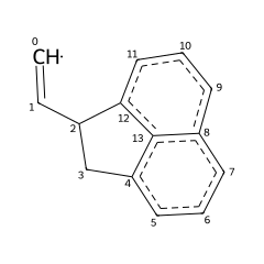 [CH]=CC1Cc2cccc3cccc1c23